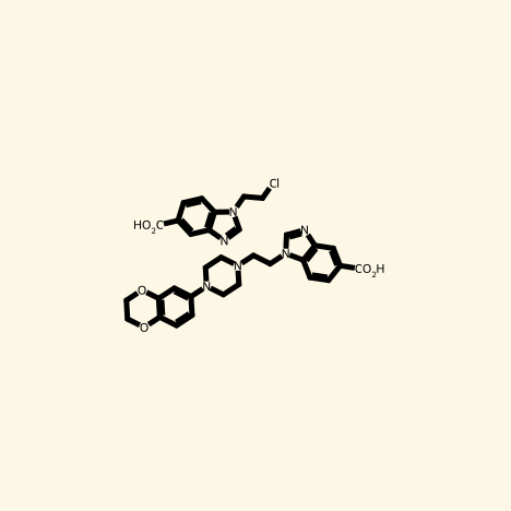 O=C(O)c1ccc2c(c1)ncn2CCCl.O=C(O)c1ccc2c(c1)ncn2CCN1CCN(c2ccc3c(c2)OCCO3)CC1